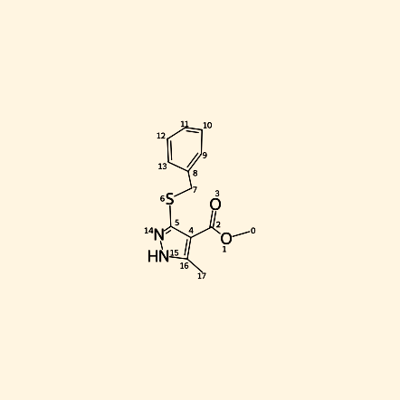 COC(=O)c1c(SCc2ccccc2)n[nH]c1C